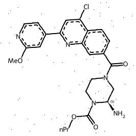 CCCOC(=O)N1CCN(C(=O)c2ccc3c(Cl)cc(-c4ccnc(OC)c4)nc3c2)C[C@H]1N